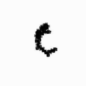 CCOCCOC(=O)CCCCCOC(=O)CCC(=O)Oc1ccc2ccc3c(c2c1)N=CC1(O3)N(CC(C)C)c2ccccc2C1(C)C